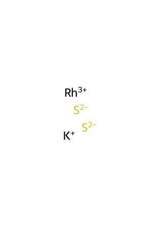 [K+].[Rh+3].[S-2].[S-2]